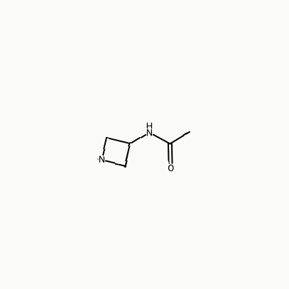 CC(=O)NC1C[N]C1